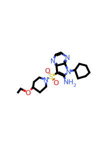 CCOC1CCN(S(=O)(=O)c2c(N)n(C3CCCCC3)c3nccnc23)CC1